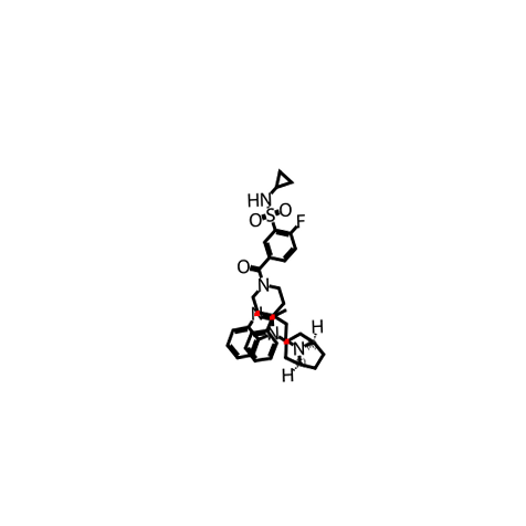 Cc1nc2ccccc2n1C1C[C@H]2CC[C@@H](C1)N2CCC1(c2ccccc2)CCN(C(=O)c2ccc(F)c(S(=O)(=O)NC3CC3)c2)CC1